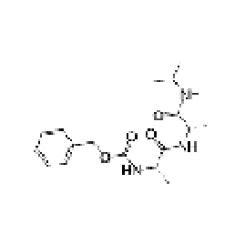 CC(C)NC(=O)[C@H](C)NC(=O)[C@H](C)NC(=O)OCc1ccccc1